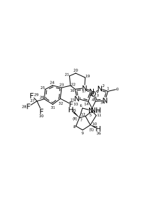 Cc1noc(N2C[C@H]3CC[C@@H](C2)C3Nc2nc3n(n2)CCCC3c2ccc(C(F)(F)F)cc2F)n1